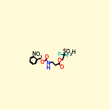 O=C(CCNC(=O)OCc1ccccc1[N+](=O)[O-])OCC(F)(F)S(=O)(=O)O